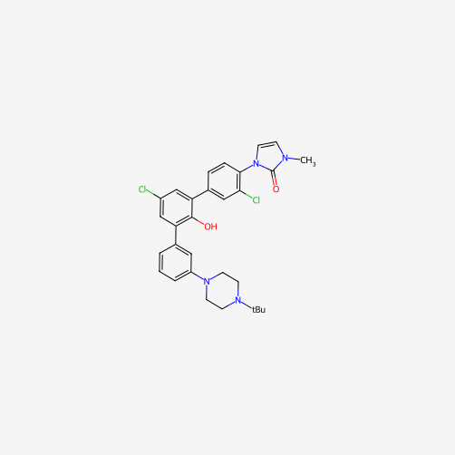 Cn1ccn(-c2ccc(-c3cc(Cl)cc(-c4cccc(N5CCN(C(C)(C)C)CC5)c4)c3O)cc2Cl)c1=O